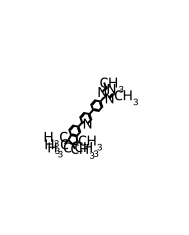 Cc1nc(C)nc(-c2ccc(-c3ccc(-c4ccc5c(c4)C(C)(C)C(C)(C)C5(C)C)nc3)cc2)n1